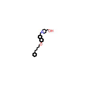 OCC1CCN(Cc2ccc3cc(OCCCCCc4ccccc4)ccc3c2)CC1